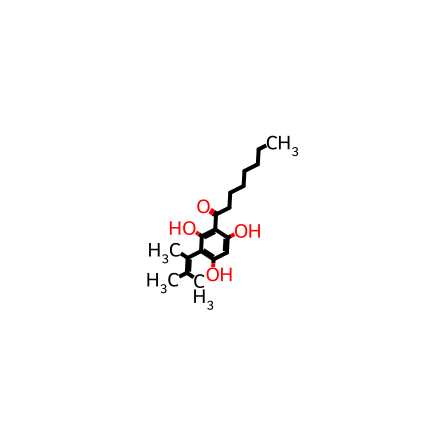 CCCCCCCC(=O)c1c(O)cc(O)c(C(C)=C(C)C)c1O